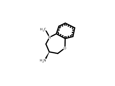 CN1C[C@H](N)COc2ccccc21